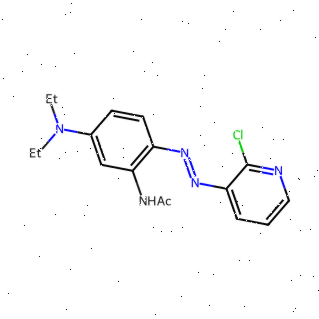 CCN(CC)c1ccc(N=Nc2cccnc2Cl)c(NC(C)=O)c1